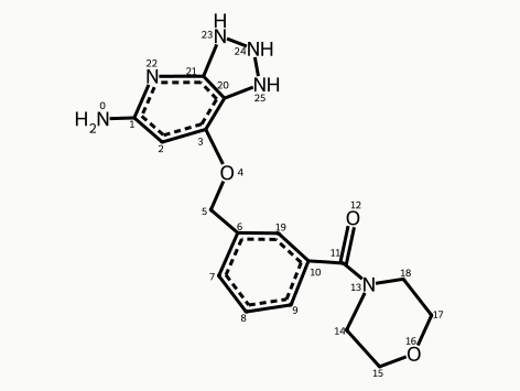 Nc1cc(OCc2cccc(C(=O)N3CCOCC3)c2)c2c(n1)NNN2